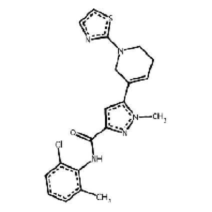 Cc1cccc(Cl)c1NC(=O)c1cc(C2=CCCN(c3nccs3)C2)n(C)n1